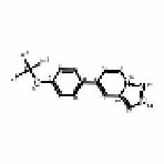 FC(F)(F)Oc1ccc(-c2ccn3nncc3c2)cc1